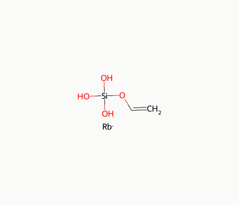 C=CO[Si](O)(O)O.[Rb]